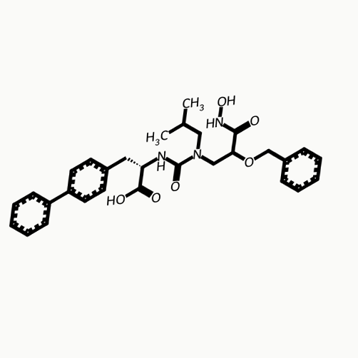 CC(C)CN(CC(OCc1ccccc1)C(=O)NO)C(=O)N[C@@H](Cc1ccc(-c2ccccc2)cc1)C(=O)O